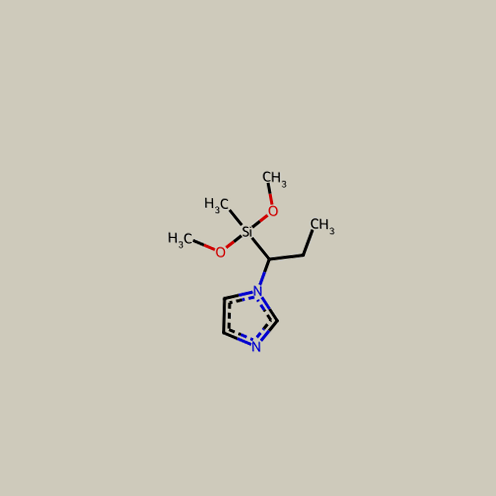 CCC(n1ccnc1)[Si](C)(OC)OC